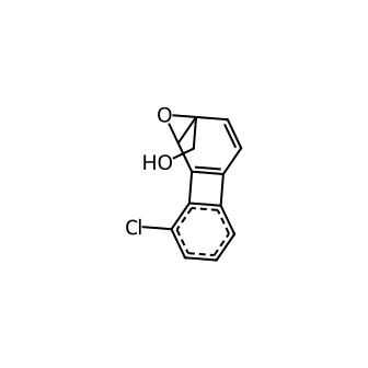 OCC12C=CC3=C(c4c(Cl)cccc43)C1O2